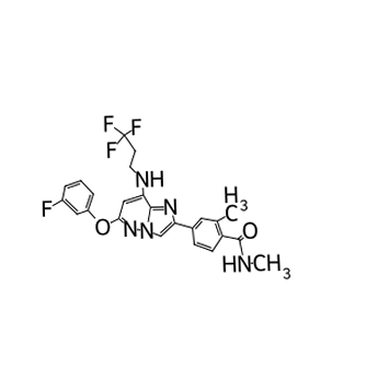 CNC(=O)c1ccc(-c2cn3nc(Oc4cccc(F)c4)cc(NCCC(F)(F)F)c3n2)cc1C